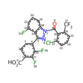 O=C(O)c1ccc(-c2nn(C(=O)c3c(Cl)cccc3C(F)(F)F)c3cccc(F)c23)c(F)c1F